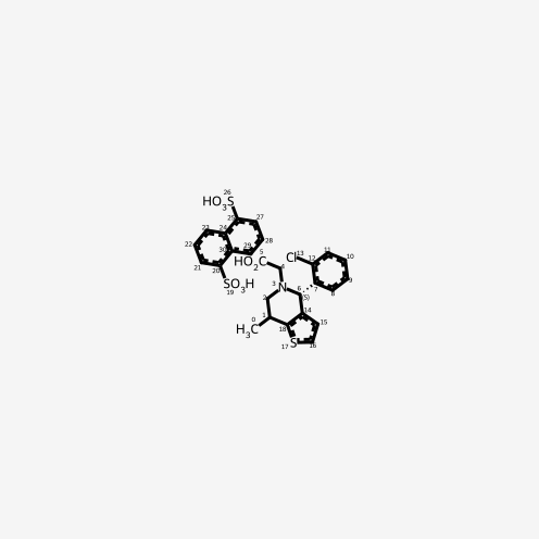 CC1CN(CC(=O)O)[C@H](c2ccccc2Cl)c2ccsc21.O=S(=O)(O)c1cccc2c(S(=O)(=O)O)cccc12